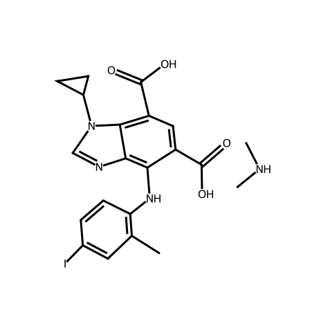 CNC.Cc1cc(I)ccc1Nc1c(C(=O)O)cc(C(=O)O)c2c1ncn2C1CC1